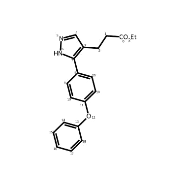 CCOC(=O)CCc1cn[nH]c1-c1ccc(Oc2ccccc2)cc1